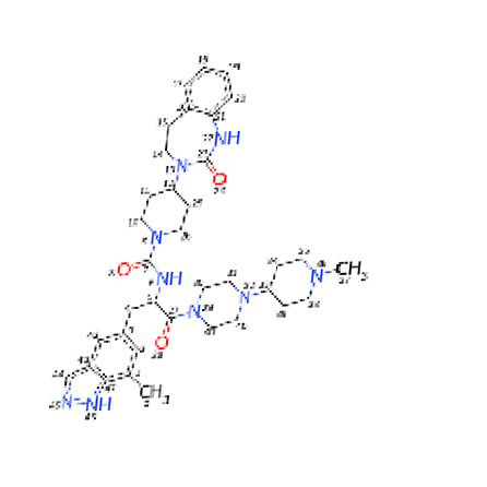 Cc1cc(CC(NC(=O)N2CCC(N3CCc4ccccc4NC3=O)CC2)C(=O)N2CCN(C3CCN(C)CC3)CC2)cc2cn[nH]c12